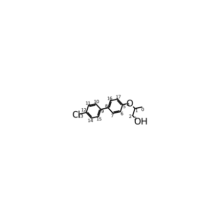 CC(CO)Oc1ccc(-c2ccc(Cl)cc2)cc1